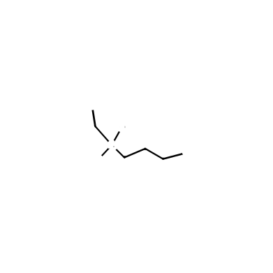 CCCC[Si](O)(O)CC